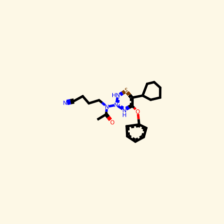 CC(=O)N(CCCC#N)n1[nH]sc(C2CCCCC2)c(Oc2ccccc2)[nH]1